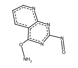 NOc1nc(N=O)nc2ncccc12